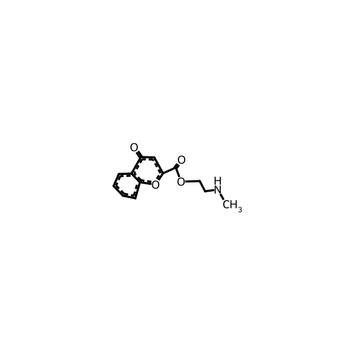 CNCCOC(=O)c1cc(=O)c2ccccc2o1